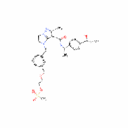 COC(=O)c1ccc(C(C)NC(=O)c2c(C(F)(F)F)nn3c2N(Cc2cccc(COCCOS(C)(=O)=O)c2)CC3)cc1